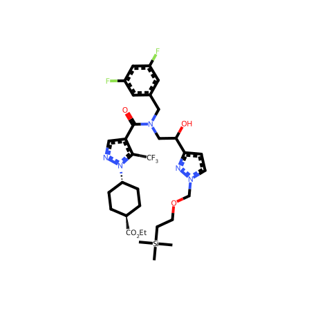 CCOC(=O)[C@H]1CC[C@H](n2ncc(C(=O)N(Cc3cc(F)cc(F)c3)CC(O)c3ccn(COCC[Si](C)(C)C)n3)c2C(F)(F)F)CC1